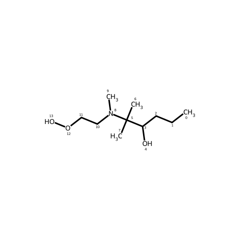 CCCC(O)C(C)(C)N(C)CCOO